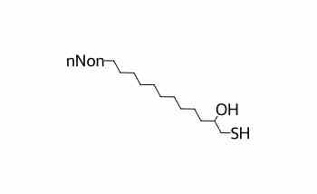 CCCCCCCCCCCCCCCCCCCC(O)CS